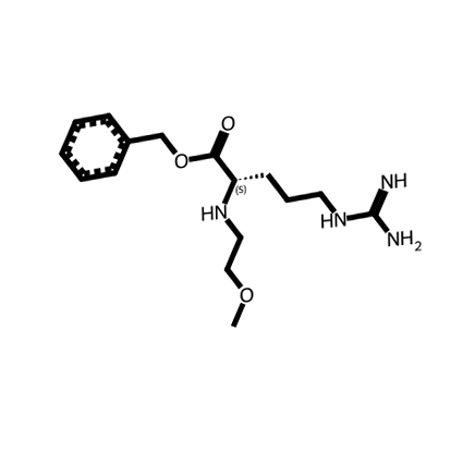 COCCN[C@@H](CCCNC(=N)N)C(=O)OCc1ccccc1